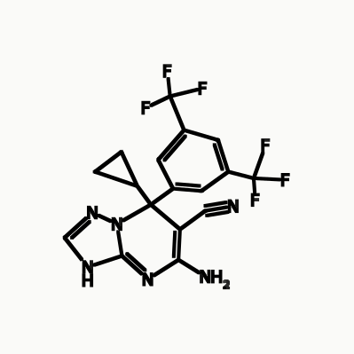 N#CC1=C(N)N=C2NC=NN2C1(c1cc(C(F)(F)F)cc(C(F)(F)F)c1)C1CC1